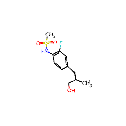 CC(CO)Cc1ccc(NS(C)(=O)=O)c(F)c1